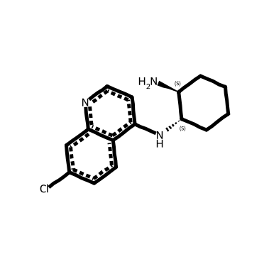 N[C@H]1CCCC[C@@H]1Nc1ccnc2cc(Cl)ccc12